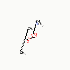 CCCCCCCCC(CCCCCC)C(=O)OCC(C=O)OC(=O)CCCCCN(C)C